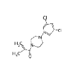 C=C(C)C(=O)N1CCN(c2cc(Cl)cc(Cl)c2)CC1